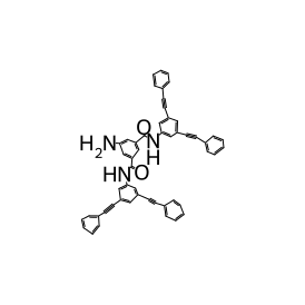 Nc1cc(C(=O)Nc2cc(C#Cc3ccccc3)cc(C#Cc3ccccc3)c2)cc(C(=O)Nc2cc(C#Cc3ccccc3)cc(C#Cc3ccccc3)c2)c1